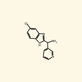 NC(c1cccnc1)c1nc2cc(Cl)ccc2[nH]1